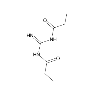 CCC(=O)NC(=N)NC(=O)CC